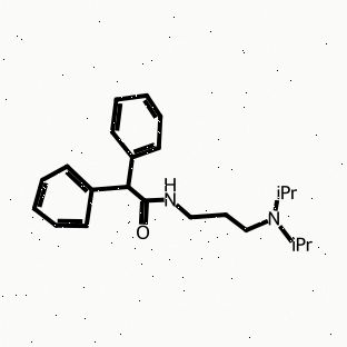 CC(C)N(CCCNC(=O)C(c1ccccc1)c1ccccc1)C(C)C